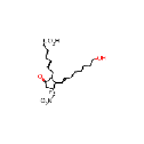 O=C(O)CCCC=CCC1C(=O)C[C@@H](C[N+](=O)[O-])C1C=CCCCCCCO